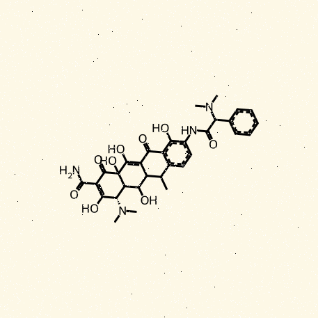 CC1c2ccc(NC(=O)C(c3ccccc3)N(C)C)c(O)c2C(=O)C2=C(O)C3(O)C(=O)C(C(N)=O)=C(O)[C@@H](N(C)C)C3C(O)C21